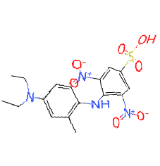 CCN(CC)c1ccc(Nc2c([N+](=O)[O-])cc(S(=O)(=O)O)cc2[N+](=O)[O-])c(C)c1